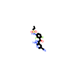 CCCS(=O)(=O)Nc1ccc(F)c(C(=O)c2n[nH]c3ncc(C#N)cc23)c1F